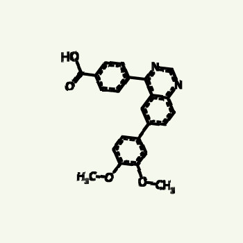 COc1ccc(-c2ccc3ncnc(-c4ccc(C(=O)O)cc4)c3c2)cc1OC